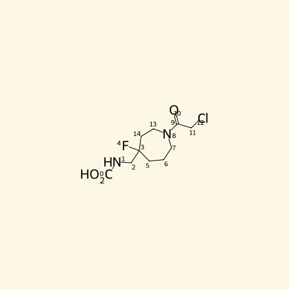 O=C(O)NCC1(F)CCCN(C(=O)CCl)CC1